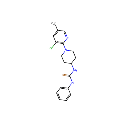 FC(F)(F)c1cnc(N2CCC(NC(=S)Nc3ccccc3)CC2)c(Cl)c1